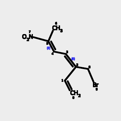 C=C/C(=C\C=C(/C)[N+](=O)[O-])CBr